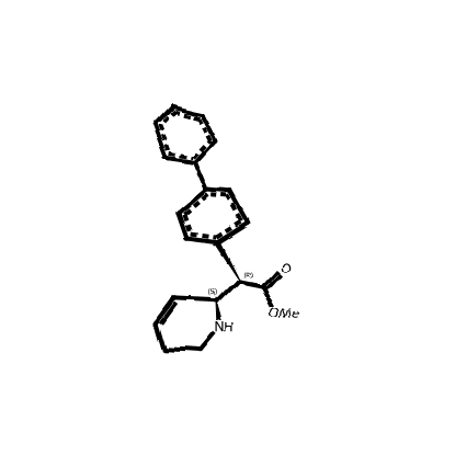 COC(=O)[C@H](c1ccc(-c2ccccc2)cc1)[C@@H]1C=CCCN1